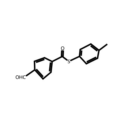 Cc1ccc(SC(=O)c2ccc(C=O)cc2)cc1